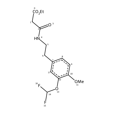 CCOC(=O)CC(=O)NCCc1ccc(OC)c(OC(F)F)c1